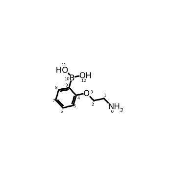 NCCOc1ccccc1B(O)O